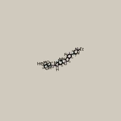 CCc1ncc(-c2cc(F)c3c(c2)CC[C@@H]3Nc2nc3nc(O[C@@H]4CO[C@H]5[C@@H]4OC[C@H]5O)[nH]c3cc2Cl)cn1